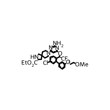 CCOC(=O)[C@@H]1CC2(CCN(c3cc(O[C@H](c4ccc(Cl)cc4-c4cccc(OCCOC)c4)C(F)(F)F)nc(N)n3)CC2)CN1